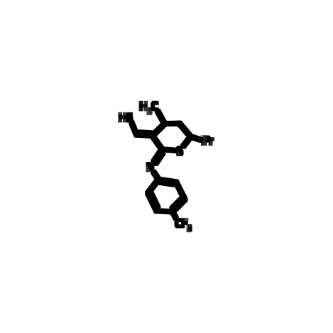 CC1CC(C(C)C)SC(=N\c2ccc(C(F)(F)F)cc2)/C1=C/S